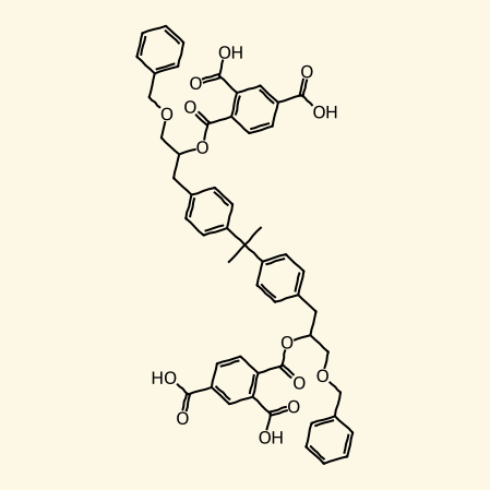 CC(C)(c1ccc(CC(COCc2ccccc2)OC(=O)c2ccc(C(=O)O)cc2C(=O)O)cc1)c1ccc(CC(COCc2ccccc2)OC(=O)c2ccc(C(=O)O)cc2C(=O)O)cc1